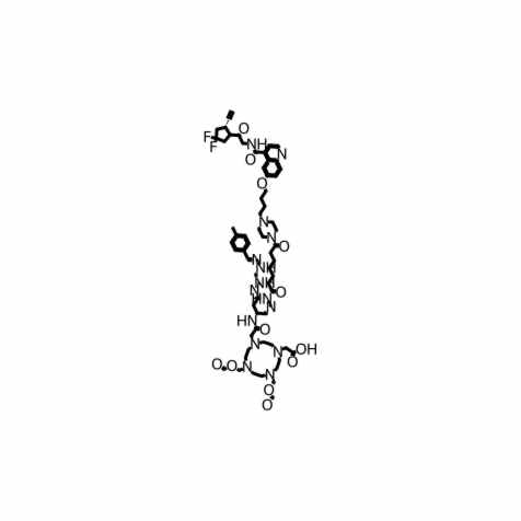 C#C[C@H]1CC(F)(F)CC1C(=O)CNC(=O)c1ccnc2ccc(OCCCCN3CCN(C(=O)CCCCCC(=O)N/N=C\C(C/C=N/NCN/N=C/c4ccc(C)cc4)NC(=O)CN4CCN(COC=O)CCN(COC=O)CCN(CC(=O)O)CC4)CC3)cc12